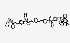 CC1(C)CC(=O)N(CC2CCC(C(=O)NCCOCCOCCC(=O)Nc3ccc(CCC(=O)N4CCC4=O)cc3)CC2)C1=O